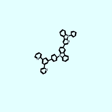 c1ccc(-n2c3ccccc3c3cc(-c4ccc5c(c4)c4ccccc4n5-c4ccc(-c5cc(-c6ccccn6)cc(-c6ccccn6)c5)cc4)cnc32)cc1